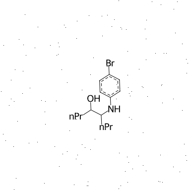 CCCC(O)C(CCC)Nc1ccc(Br)cc1